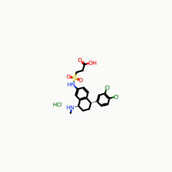 CN[C@H]1CC[C@@H](c2ccc(Cl)c(Cl)c2)c2ccc(NS(=O)(=O)CCC(=O)O)cc21.Cl